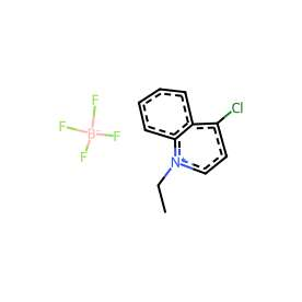 CC[n+]1ccc(Cl)c2ccccc21.F[B-](F)(F)F